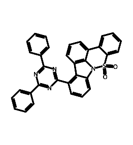 O=S1(=O)c2ccccc2-c2cccc3c4c(-c5nc(-c6ccccc6)nc(-c6ccccc6)n5)cccc4n1c23